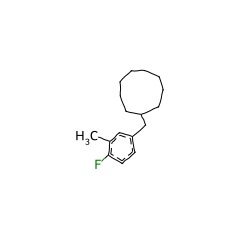 Cc1cc(CC2CCCCCCCC2)ccc1F